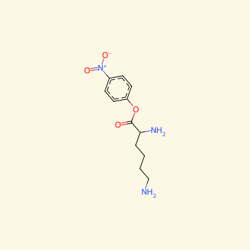 NCCCCC(N)C(=O)Oc1ccc([N+](=O)[O-])cc1